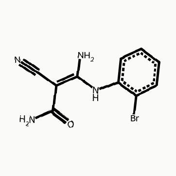 N#CC(C(N)=O)=C(N)Nc1ccccc1Br